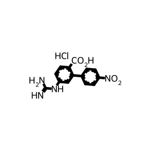 Cl.N=C(N)Nc1ccc(C(=O)O)c(-c2ccc([N+](=O)[O-])cc2)c1